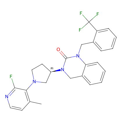 Cc1ccnc(F)c1N1CC[C@@H](N2Cc3ccccc3N(Cc3ccccc3C(F)(F)F)C2=O)C1